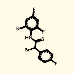 Fc1ccc(C(Br)C(=S)Nc2c(F)cc(F)cc2Br)cc1